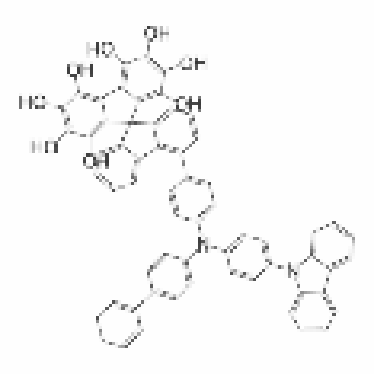 Oc1c(O)c(O)c2c(c1O)-c1c(O)c(O)c(O)c(O)c1C21c2ccccc2-c2c(-c3ccc(N(c4ccc(C5=CCCC=C5)cc4)c4ccc(-n5c6ccccc6c6ccccc65)cc4)cc3)cccc21